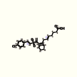 O=C(O)CCC/C=C/CC1C2CCC(O2)C1NS(=O)(=O)/C=C/c1ccc(Cl)cc1